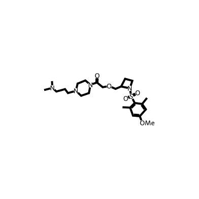 COc1cc(C)c(S(=O)(=O)N2CCC2COCC(=O)N2CCN(CCCN(C)C)CC2)c(C)c1